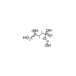 N=C(CCP(=O)(O)OCO)C(=O)O